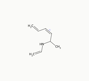 C=C/C=C\C(C)NC=C